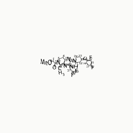 COCC(=O)N1CCc2nc(N3CCC(Oc4ccc(F)cc4F)CC3)c(NCC(F)F)nc2C1C